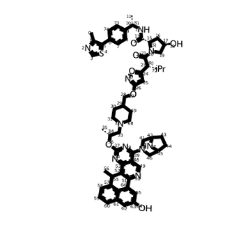 Cc1ncsc1-c1ccc([C@H](C)NC(=O)[C@@H]2C[C@@H](O)CN2C(=O)[C@@H](c2cc(OCC3CCN(C[C@@H](C)Oc4nc(N5CC6CCC(C5)N6)c5cnc6c(c5n4)C(C)c4cccc5cc(O)cc-6c45)CC3)no2)C(C)C)cc1